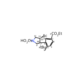 CCOC(=O)c1ccc(C)c([C@@]2(C(C)(C)C)CN(C(=O)O)C[C@H]2C(C)=O)c1